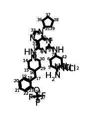 Cl.Cl.Cl.NC1CCC(Nc2nc(NN3CCC(Cc4ccccc4OC(F)(F)F)CC3)c3ncn(C4CCCC4)c3n2)CC1